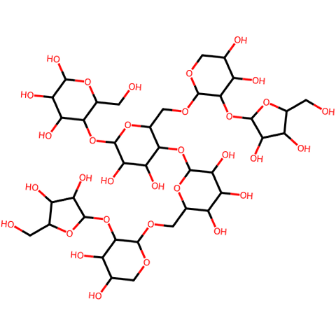 OCC1OC(OC2C(OCC3OC(OC4C(COC5OCC(O)C(O)C5OC5OC(CO)C(O)C5O)OC(OC5C(CO)OC(O)C(O)C5O)C(O)C4O)C(O)C(O)C3O)OCC(O)C2O)C(O)C1O